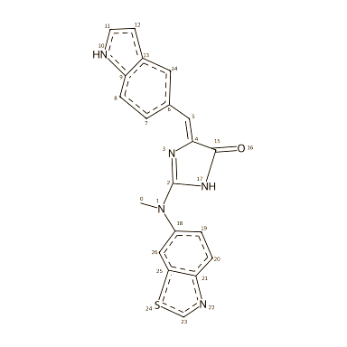 CN(C1=NC(=Cc2ccc3[nH]ccc3c2)C(=O)N1)c1ccc2ncsc2c1